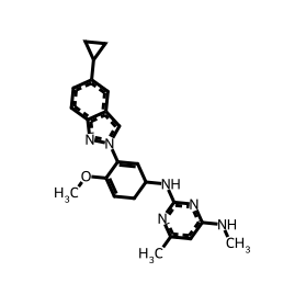 CNc1cc(C)nc(NC2C=C(n3cc4cc(C5CC5)ccc4n3)C(OC)=CC2)n1